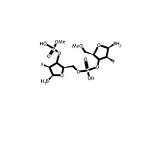 B[C@@H]1O[C@H](COP(=O)(O)OC2[C@@H](COC)O[C@@H](B)[C@H]2F)C(OP(=O)(O)OC)[C@@H]1F